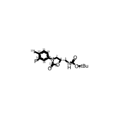 CC(C)(C)OC(=O)NC[C@H]1CN(c2ccc(I)c(F)c2)C(=O)O1